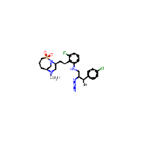 CC(C)C(c1ccc(Cl)cc1)C(CNc1cccc(F)c1CCC1CN(C(=O)O)C2CCCS(=O)(=O)N1C2)N=[N+]=[N-]